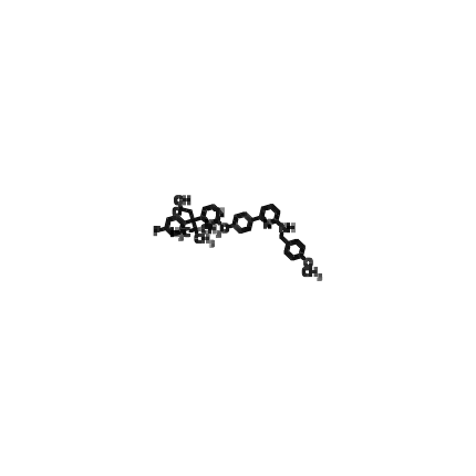 COc1ccc(CNc2cccc(-c3ccc(Oc4nccc(C(CC(=O)O)(c5ccc(F)cc5)C(C)(C)C)n4)cc3)n2)cc1